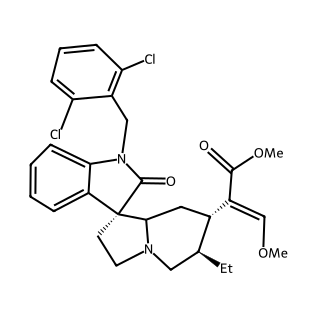 CC[C@H]1CN2CC[C@]3(C(=O)N(Cc4c(Cl)cccc4Cl)c4ccccc43)C2C[C@@H]1/C(=C\OC)C(=O)OC